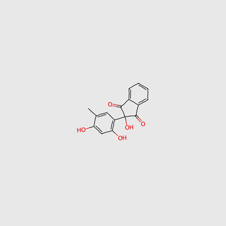 Cc1cc(C2(O)C(=O)c3ccccc3C2=O)c(O)cc1O